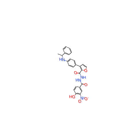 CC(Nc1ccc(-c2ccoc2C(=O)NNC(=O)c2ccc(O)c([N+](=O)[O-])c2)cc1)c1ccccc1